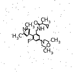 Cc1cc(-c2c(F)cc(N3C[C@@H](C)O[C@@H](C)C3)cc2CNC(=O)C(C)C2CC2)cc(C)n1